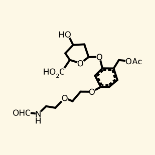 CC(=O)OCc1ccc(OCCOCCNC=O)cc1OC1CC(O)CC(C(=O)O)O1